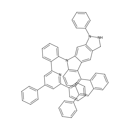 c1ccc(-c2cc(-c3ccccc3)nc(-c3ccccc3-n3c4cc5c(cc4c4c6c(ccc43)c(-c3ccccc3)cc3ccccc36)CNN5c3ccccc3)c2)cc1